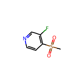 CS(=O)(=O)c1ccncc1F